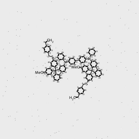 C=Cc1ccc(CSc2ccc(C3(c4ccc(OC)cc4)c4ccccc4-c4ccc(N(c5ccccc5)c5ccc(-c6ccc(N(c7ccccc7)c7ccc8c(c7)C(c7ccc(OC)cc7)(c7ccc(SCc9ccc(C=C)cc9)cc7)c7ccccc7-8)cc6)cc5)cc43)cc2)cc1